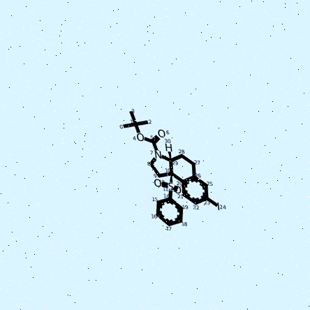 CC(C)(C)OC(=O)N1CC[C@@]2(S(=O)(=O)c3ccccc3)c3ccc(I)cc3CC[C@@H]12